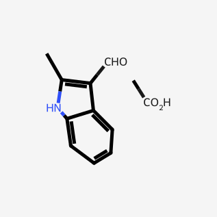 CC(=O)O.Cc1[nH]c2ccccc2c1C=O